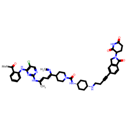 C=N/C(=C\C=C(/C)Nc1ncc(Cl)c(Nc2ccccc2C(=O)NC)n1)C1CCN(C(=O)N[C@H]2CC[C@@H](NCCC#Cc3ccc4c(c3)CN(C3CCC(=O)NC3=O)C4=O)CC2)CC1